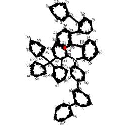 c1ccc(-c2cccc(-c3ccc(N(c4ccccc4-c4ccccc4-c4ccccc4-c4ccccc4)c4cccc5c4-c4ccccc4C5(c4ccccc4)c4ccccc4)cc3)c2)cc1